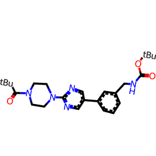 CC(C)(C)OC(=O)NCc1cccc(-c2cnc(N3CCN(C(=O)C(C)(C)C)CC3)nc2)c1